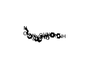 C[C@@H]1CCN(C(=O)CC#N)C[C@@H]1N(C)c1ncc2ccn(C(=O)NCC(=O)Nc3ccc(N4CCNCC4)cc3)c2n1